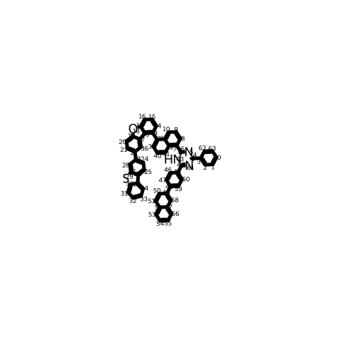 c1ccc(C2=NC(c3cccc4c(-c5cccc6oc7ccc(-c8ccc9c(c8)sc8ccccc89)cc7c56)cccc34)NC(c3ccc(-c4ccc5ccccc5c4)cc3)=N2)cc1